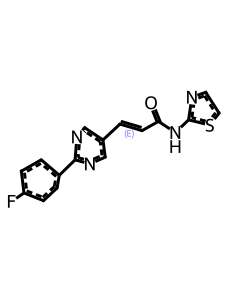 O=C(/C=C/c1cnc(-c2ccc(F)cc2)nc1)Nc1nccs1